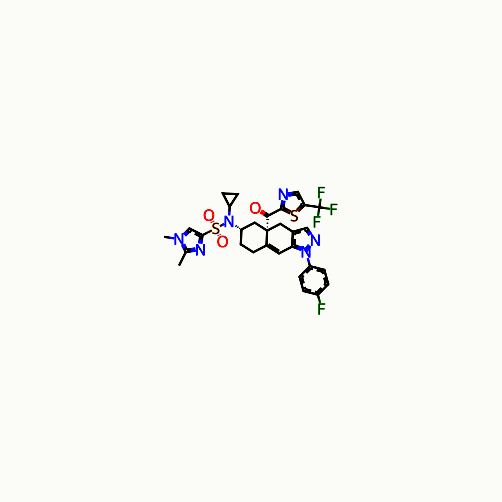 Cc1nc(S(=O)(=O)N(C2CC2)[C@H]2CCC3=Cc4c(cnn4-c4ccc(F)cc4)C[C@]3(C(=O)c3ncc(C(F)(F)F)s3)C2)cn1C